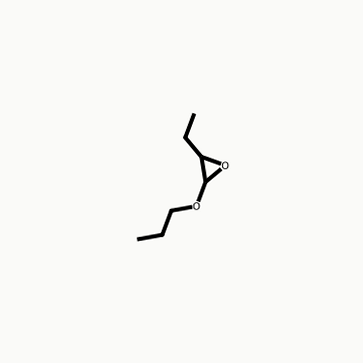 CCCOC1OC1CC